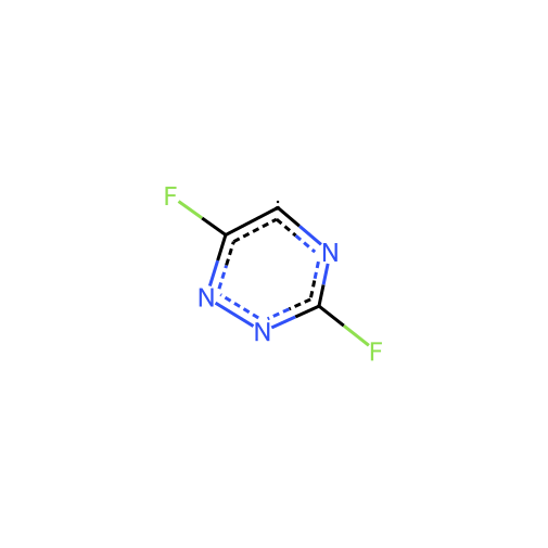 Fc1[c]nc(F)nn1